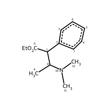 CCOC(=O)C(c1ccccc1)C(C)N(C)C